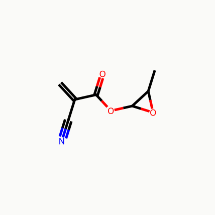 C=C(C#N)C(=O)OC1OC1C